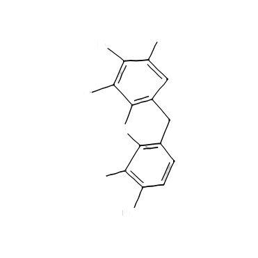 Cc1cc2c(c(Cl)c1O)Oc1c(ccc(O)c1C)C2